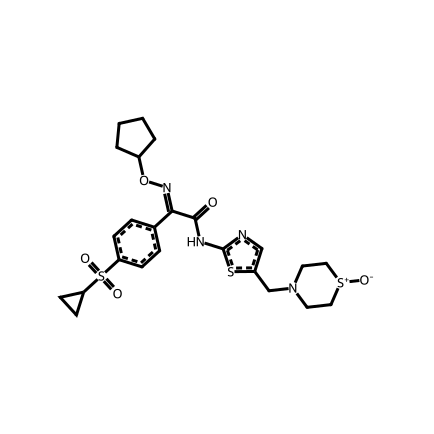 O=C(Nc1ncc(CN2CC[S+]([O-])CC2)s1)/C(=N/OC1CCCC1)c1ccc(S(=O)(=O)C2CC2)cc1